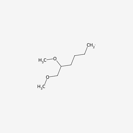 [CH2]CCCC(COC)OC